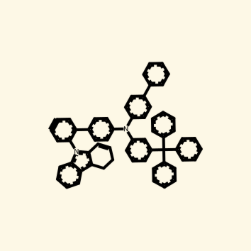 c1cc(-c2ccc(N(c3ccc(-c4ccccc4)cc3)c3cccc(C(c4ccccc4)(c4ccccc4)c4ccccc4)c3)cc2)c(-n2c3c(c4ccccc42)CCC=C3)cc#1